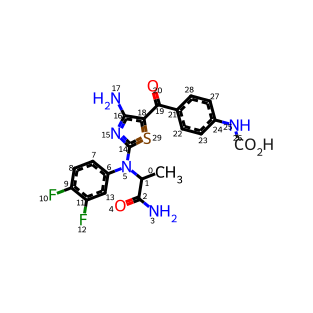 CC(C(N)=O)N(c1ccc(F)c(F)c1)c1nc(N)c(C(=O)c2ccc(NC(=O)O)cc2)s1